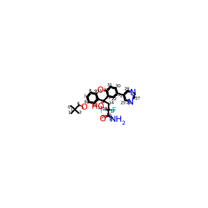 CC(C)(C)COc1ccc2c(c1)C(O)(CC(F)(F)C(N)=O)c1cc(-c3cncnc3)ccc1O2